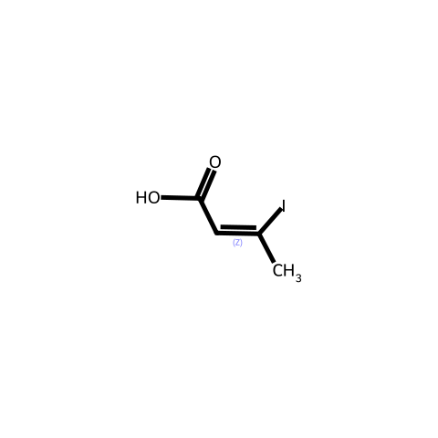 C/C(I)=C/C(=O)O